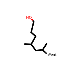 CCCCCC(C)CC(C)CCCO